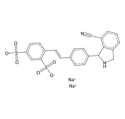 N#Cc1cccc2c1C(c1ccc(C=Cc3ccc(S(=O)(=O)[O-])cc3S(=O)(=O)[O-])cc1)NC2.[Na+].[Na+]